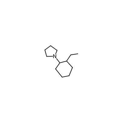 CCC1CCCCC1N1CCCC1